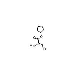 CN[C@@H](CC(C)C)C(=O)OC1CCCC1